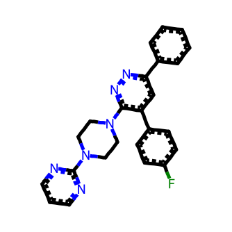 Fc1ccc(-c2cc(-c3ccccc3)nnc2N2CCN(c3ncccn3)CC2)cc1